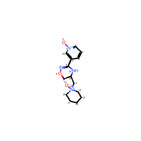 [O-][n+]1cccc(C2=NOCC(C[N+]3([O-])CCCCC3)N2)c1